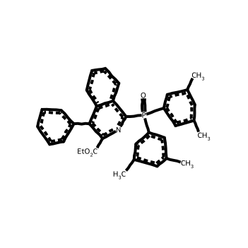 CCOC(=O)c1nc(P(=O)(c2cc(C)cc(C)c2)c2cc(C)cc(C)c2)c2ccccc2c1-c1ccccc1